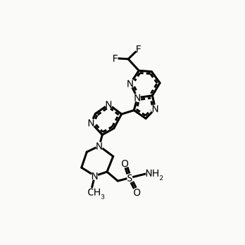 CN1CCN(c2cc(-c3cnc4ccc(C(F)F)nn34)ncn2)CC1CS(N)(=O)=O